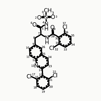 CS(=O)(=O)NC(=O)C(Cc1ccc2nc(-c3c(Cl)cccc3Cl)ccc2c1)NC(=O)c1c(Cl)cccc1Cl